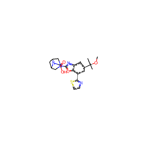 COC(C)(C)c1cc(-c2nccs2)c2oc(N3CC4CC(C3)N4C(=O)O)nc2c1